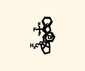 COC1(c2cccc(C(=O)C(F)(F)F)c2)C2CCC1CN(CC1(O)Cc3ccccc3C1)C2